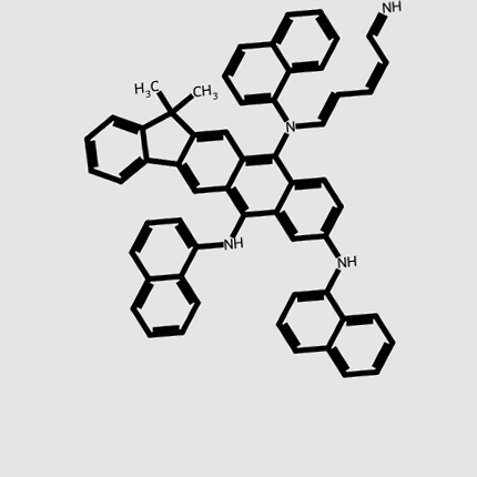 CC1(C)c2ccccc2-c2cc3c(Nc4cccc5ccccc45)c4cc(Nc5cccc6ccccc56)ccc4c(N(/C=C/C=C\C=N)c4cccc5ccccc45)c3cc21